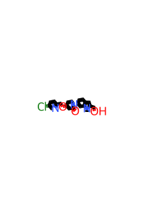 Cn1c(CO)cc2ccc(-n3ccc(OCc4ccc(Cl)cn4)cc3=O)cc21